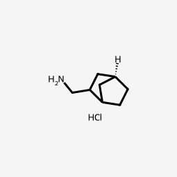 Cl.NCC1C[C@H]2CCC1C2